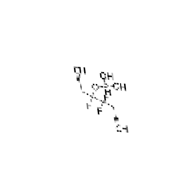 C#CCC(F)(F)C(F)(CC#C)OP(=O)(O)O